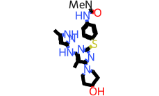 CNC(=O)Nc1ccc(Sc2nc(Nc3cc(C)[nH]n3)c(C)c(N3CCC(O)CC3)n2)cc1